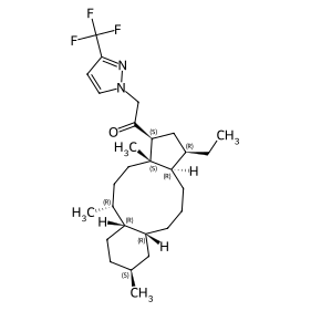 CC[C@@H]1C[C@H](C(=O)Cn2ccc(C(F)(F)F)n2)[C@@]2(C)CC[C@@H](C)[C@H]3CC[C@H](C)C[C@H]3CCC[C@H]12